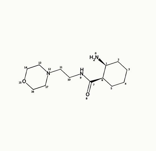 N[C@H]1CCCC[C@H]1C(=O)NCCN1CCOCC1